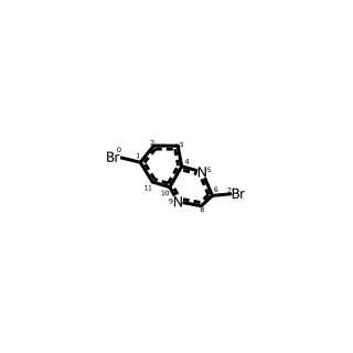 Brc1ccc2nc(Br)cnc2c1